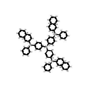 C1=CC(N(c2ccc(N(c3ccccc3)c3ccc4ccccc4c3)cc2)c2ccc(N(c3ccccc3)c3ccc4ccccc4c3)cc2)CC=C1N(c1ccccc1)c1ccc2ccccc2c1